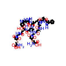 CN[C@H](C(=O)N[C@H](C(=O)N(C)[C@H](/C=C(\C)C(=O)N[C@H](C)CC(=O)NCCN1C(=O)CC(SC[C@H](N)C(=O)O)C1=O)C(C)CCC(C)(C)[C@H](NC(=O)[C@@H](NC)C(C)(C)c1cn(C)c2ccccc12)C(=O)N(C)[C@H](/C=C(\C)C(=O)N[C@H](CCC(=O)NCCN1C(=O)CC(SC[C@H](N)C(=O)O)C1=O)C(=O)O)C(C)C)C(C)(C)C)C(C)(C)c1ccccc1